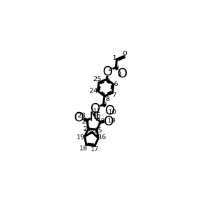 C=CC(=O)Oc1ccc(C(=O)ON2C(=O)C3C4C=CC(C4)C3C2=O)cc1